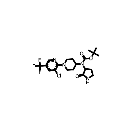 CC(C)(C)OC(=O)N(C1CCN(c2ncc(C(F)(F)F)cc2Cl)CC1)C1CCNC1=O